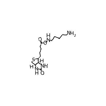 NCCCCCNOC(=O)CCCC[C@@H]1SC[C@@H]2NC(=O)N[C@@H]21